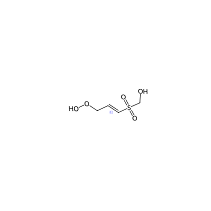 O=S(=O)(/C=C/COO)CO